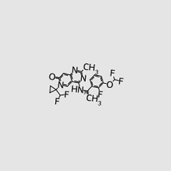 Cc1nc(N[C@H](C)c2cccc(OC(F)F)c2F)c2cn(C3(C(F)F)CC3)c(=O)cc2n1